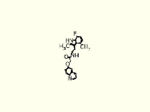 Cc1[nH]c2c(F)ccc(C)c2c1CCNC(=O)COc1ccc2ncccc2c1